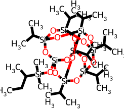 CCC(C)[Si](C)(C)O[Si]12O[Si]3(C(C)C)O[Si]4(C(C)C)O[Si](C(C)C)(O1)O[Si]1(C(C)C)O[Si](C(C)C)(O2)O[Si](C(C)C)(O3)O[Si](C(C)C)(O4)O1